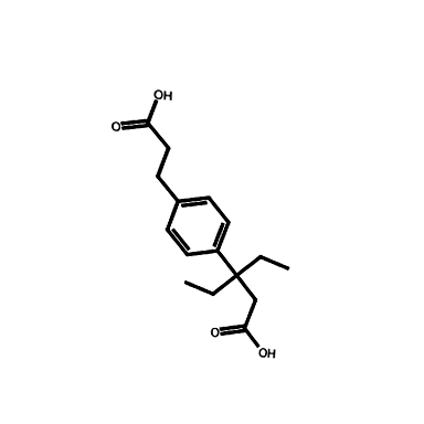 CCC(CC)(CC(=O)O)c1ccc(CCC(=O)O)cc1